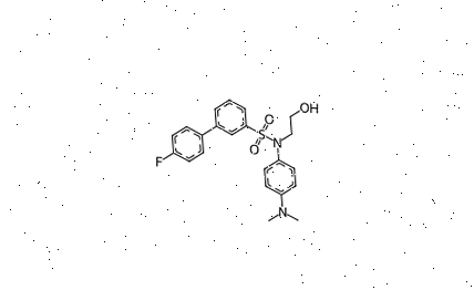 CN(C)c1ccc(N(CCO)S(=O)(=O)c2cccc(-c3ccc(F)cc3)c2)cc1